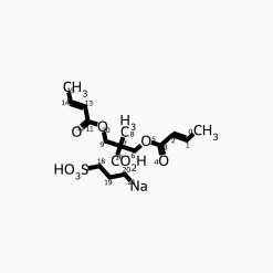 CC=CC(=O)OCC(C)(COC(=O)C=CC)C(=O)O.O=S(=O)(O)CC[CH2][Na]